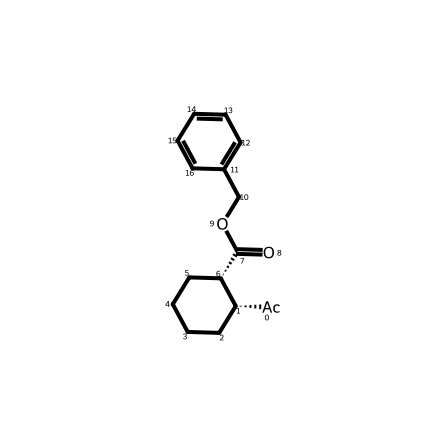 CC(=O)[C@@H]1CCCC[C@@H]1C(=O)OCc1ccccc1